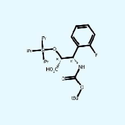 CC(C)[Si](O[C@@H](C(=O)O)[C@@H](NC(=O)OC(C)(C)C)c1ccccc1F)(C(C)C)C(C)C